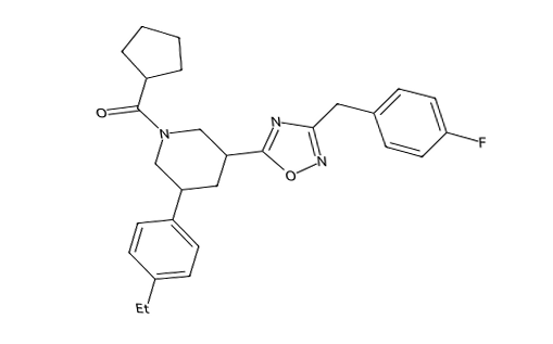 CCc1ccc(C2CC(c3nc(Cc4ccc(F)cc4)no3)CN(C(=O)C3CCCC3)C2)cc1